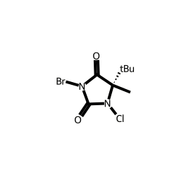 CC(C)(C)[C@@]1(C)C(=O)N(Br)C(=O)N1Cl